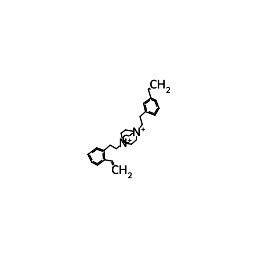 C=Cc1cccc(CC[N+]23CC[N+](CCc4ccccc4C=C)(CC2)CC3)c1